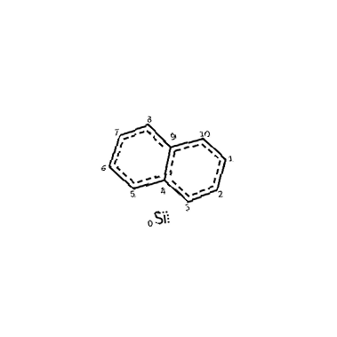 [Si].c1ccc2ccccc2c1